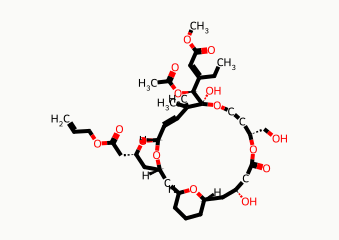 C=CCOC(=O)C[C@H]1C[C@H]2C[C@H]3CCC[C@@H](C[C@@H](O)CC(=O)O[C@@H](CO)CCO[C@](O)([C@@H](OC(C)=O)/C(=C/C(=O)OC)CC)C(C)(C)/C=C/[C@H](O2)O1)O3